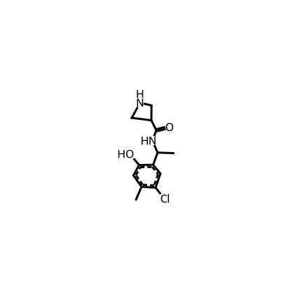 Cc1cc(O)c(C(C)NC(=O)C2CNC2)cc1Cl